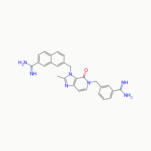 Cc1nc2ccn(Cc3cccc(C(=N)N)c3)c(=O)c2n1Cc1ccc2ccc(C(=N)N)cc2c1